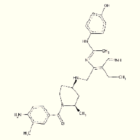 CC/C(C=N)=C(CN[C@@H]1CCN(C(=O)c2ccc(N)c(C)c2)[C@H](C)C1)/N=C(\C)Nc1ccc(O)cc1